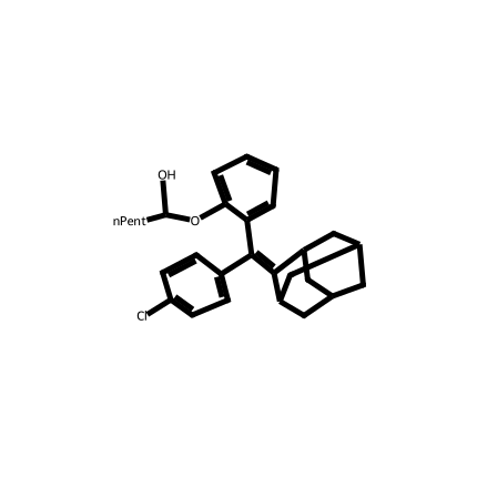 CCCCCC(O)Oc1ccccc1C(=C1C2CC3CC(C2)CC1C3)c1ccc(Cl)cc1